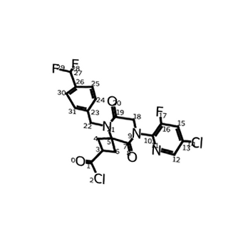 O=C(Cl)C1CC2(C1)C(=O)N(c1ncc(Cl)cc1F)CC(=O)N2Cc1ccc(C(F)F)cc1